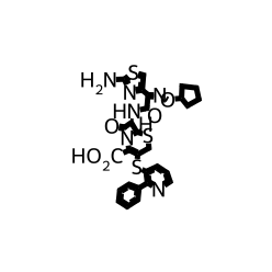 Nc1nc(/C(=N/OC2CCCC2)C(=O)N[C@@H]2C(=O)N3C(C(=O)O)=C(Sc4cccnc4-c4ccccc4)CS[C@H]23)cs1